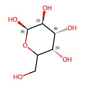 OCC1O[C@@H](O)[C@@H](O)[C@H](O)[C@@H]1O